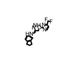 N=N/C(=C\Nc1ccc2c(c1)CCC2)COc1nccc(C(F)F)n1